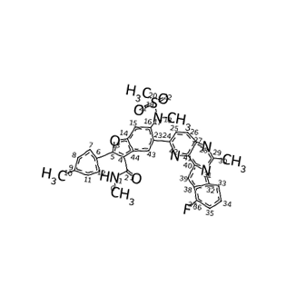 CNC(=O)c1c(-c2ccc(C)cc2)oc2cc(N(C)S(C)(=O)=O)c(-c3ccc4nc(C)n5c6cccc(F)c6cc5c4n3)cc12